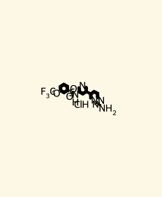 Cl.Nc1nc2ccc(-c3cncc(NS(=O)(=O)c4cccc(OC(F)(F)F)c4)c3)cn2n1